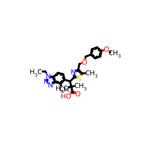 CCn1nnc2c(C)c(C(c3nc(COCc4ccc(OC)cc4)c(C)s3)C(C)(C)C(=O)O)ccc21